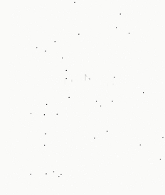 CN1CCCOC1c1ccccc1